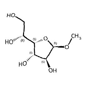 CO[C@@H]1O[C@@H]([C@H](O)CO)[C@@H](O)[C@@H]1O